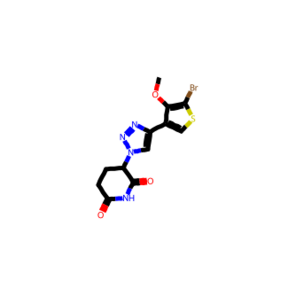 COc1c(-c2cn(C3CCC(=O)NC3=O)nn2)csc1Br